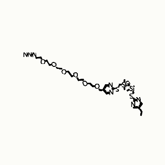 CCc1cnc(SC[Si](C)(C)O[Si](C)(C)CSc2ncc(COCCOCCOCCOCCOCCOCCN=[N+]=[N-])cn2)nc1